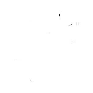 N#C/C(=C/CO[C@@H]1O[C@H](CO)[C@@H](O)[C@@H](O)[C@@H]1O)CO